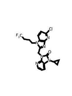 O=c1n(Cc2nc3nc(Cl)ccc3n2CCCC(F)(F)F)c2ncccc2n1C1CC1